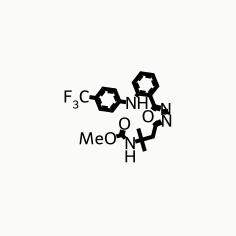 COC(=O)NC(C)(C)Cc1nnc(-c2ccccc2Nc2ccc(C(F)(F)F)cc2)o1